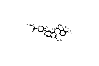 Cc1nc(N[C@H](C)c2cccc(C(F)(F)F)c2C)c2cc(P3(=O)CCN(C(=O)OC(C)(C)C)CC3)ncc2n1